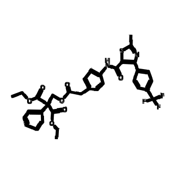 CCOC(=O)C(COC(=O)Cc1ccc(NC(=O)c2sc(C)nc2-c2ccc(C(F)(F)F)cc2)cc1)(C(=O)OCC)c1ccccc1